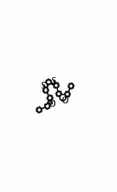 c1ccc(-c2ccc3c(c2)-c2cc(-c4ccc5sc6ccc7sc8ccc(-c9ccc%10oc%11ccc(-c%12ccccc%12)cc%11c%10c9)cc8c7c6c5c4)ccc2CCO3)cc1